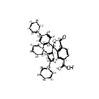 O=C(O)c1ccc2c(c1)C1(OC2=O)c2ccc(N3CCCCC3)cc2[Si]2(CCCCC2)c2cc(N3CCCCC3)ccc21